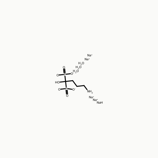 NCCCC(O)(P(=O)([O-])[O-])P(=O)([O-])[O-].O.O.O.[Na+].[Na+].[Na+].[Na+].[NaH]